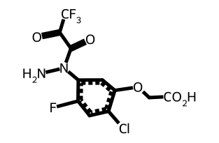 NN(C(=O)C(=O)C(F)(F)F)c1cc(OCC(=O)O)c(Cl)cc1F